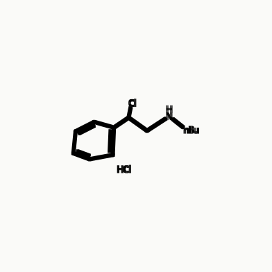 CCCCNCC(Cl)c1ccccc1.Cl